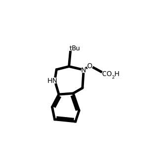 CC(C)(C)C1CNc2ccccc2CN1OC(=O)O